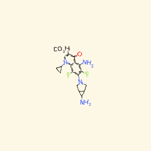 Nc1c(F)c(N2CC3C(N)C3C2)c(F)c2c1c(=O)c(C(=O)O)cn2C1CC1